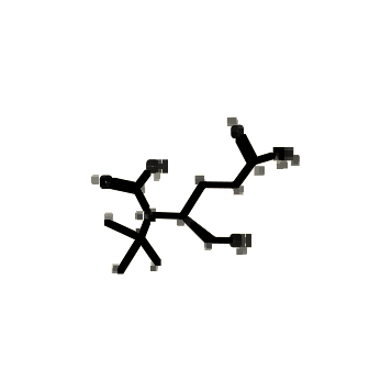 CC(C)(C)N(C(=O)O)[C@H](CO)CCC(N)=O